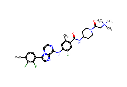 COc1ccc(-c2cnc3c(Nc4ccc(C(=O)NC5CCN(C(=O)C[N+](C)(C)C)CC5)c(C)c4)nccn23)c(F)c1F.[Cl-]